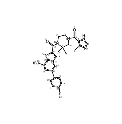 Cc1nc[nH]c1C(=O)N1CCN(C(=O)c2cn3nc(-c4ccc(F)cc4)cc(C(C)(C)C)c3n2)C(C)(C)C1